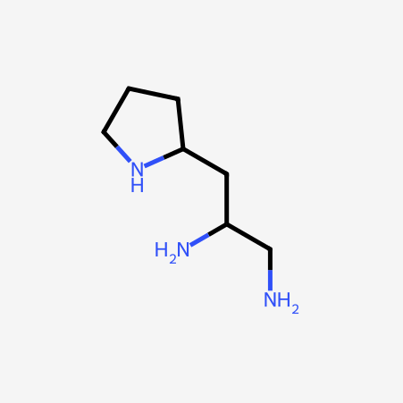 NCC(N)CC1CCCN1